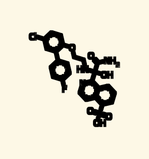 NC(=O)C(O)(NCCOc1ccc(Cl)cc1-c1ccc(F)cc1)c1nccc2c(S(=O)(=O)O)cccc12